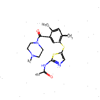 COc1cc(C)c(Sc2cnc(NC(=O)C(C)(C)C)s2)cc1C(=O)N1CCN(C(C)=O)CC1